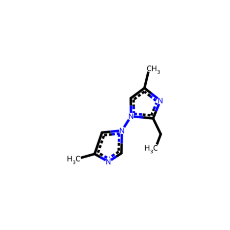 CCc1nc(C)cn1-n1cnc(C)c1